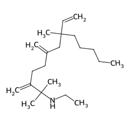 C=CC(C)(CCCCC)CC(=C)CCC(=C)C(C)(C)NCC